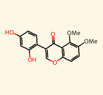 COc1ccc2occ(-c3ccc(O)cc3O)c(=O)c2c1OC